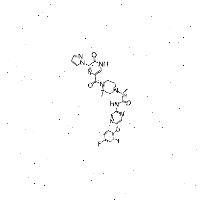 C[C@@H](C(=O)Nc1cnc(Oc2ccc(F)cc2F)cn1)N1CCN(C(=O)c2c[nH]c(=O)c(-n3cccn3)n2)C(C)(C)C1